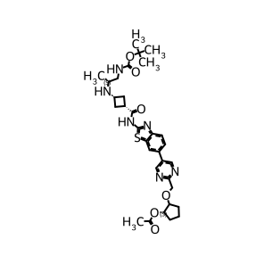 CC(=O)O[C@H]1CCCC1OCc1ncc(-c2ccc3nc(NC(=O)[C@H]4C[C@@H](N[C@@H](C)CNC(=O)OC(C)(C)C)C4)sc3c2)cn1